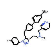 CCN(CCc1nnn(-c2ccc(C)cc2)c1Cc1ccc(-c2ccc(OC)cc2)cc1)Cc1cccnc1